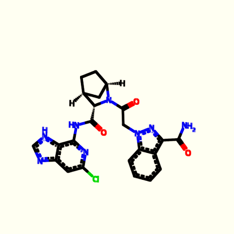 NC(=O)c1nn(CC(=O)N2[C@@H]3CC[C@@H](C3)[C@H]2C(=O)Nc2nc(Cl)cc3nc[nH]c23)c2ccccc12